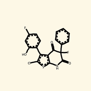 O=C1Nc2sc(Cl)c(-c3ccc(F)cc3O)c2C(=O)C1(F)c1ccccc1